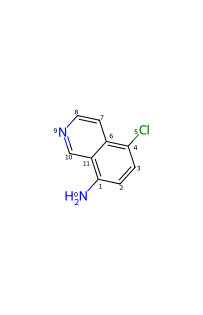 Nc1ccc(Cl)c2ccncc12